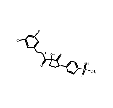 C[S@@](=N)(=O)c1ccc(N2CC[C@](O)(C(=O)NCc3cc(F)cc(Cl)c3)C2=O)cc1